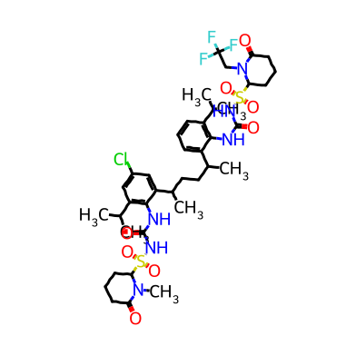 CC(C)c1cc(Cl)cc(C(C)CCC(C)c2cccc(C(C)C)c2NC(=O)NS(=O)(=O)C2CCCC(=O)N2CC(F)(F)F)c1NC(=O)NS(=O)(=O)C1CCCC(=O)N1C